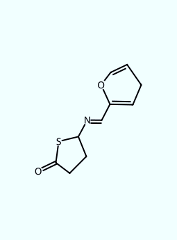 O=C1CCC(N=CC2=CCC=CO2)S1